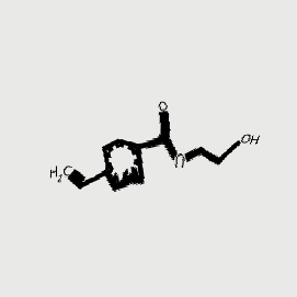 C=Cc1ccc(C(=O)OCCO)cc1